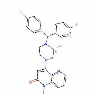 C[C@@H]1CN(c2cc(=O)n(C)c3cccnc23)CCN1C(c1ccc(F)cc1)c1ccc(F)cc1